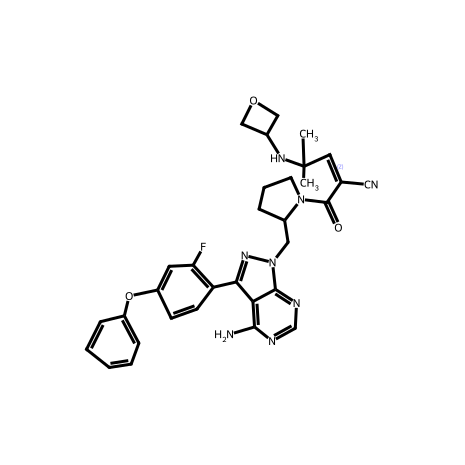 CC(C)(/C=C(/C#N)C(=O)N1CCCC1Cn1nc(-c2ccc(Oc3ccccc3)cc2F)c2c(N)ncnc21)NC1COC1